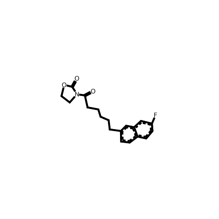 O=C(CCCCCc1ccc2ccc(F)cc2c1)N1CCOC1=O